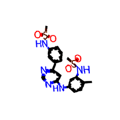 Cc1ccc(Nc2cc(-c3cccc(NS(C)(=O)=O)c3)ncn2)cc1NS(C)(=O)=O